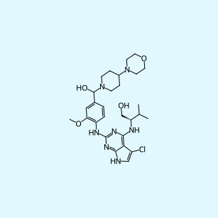 COc1cc(C(O)N2CCC(N3CCOCC3)CC2)ccc1Nc1nc(N[C@@H](CO)C(C)C)c2c(Cl)c[nH]c2n1